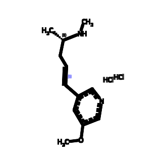 CN[C@@H](C)C/C=C/c1cncc(OC)c1.Cl.Cl